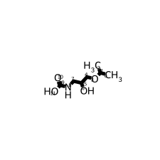 CC(C)OCC(O)CNC(=O)O